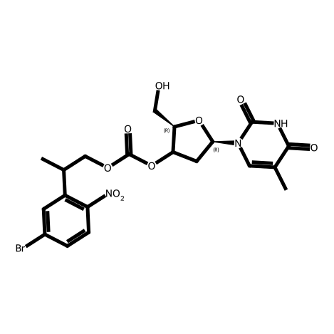 Cc1cn([C@H]2CC(OC(=O)OCC(C)c3cc(Br)ccc3[N+](=O)[O-])[C@@H](CO)O2)c(=O)[nH]c1=O